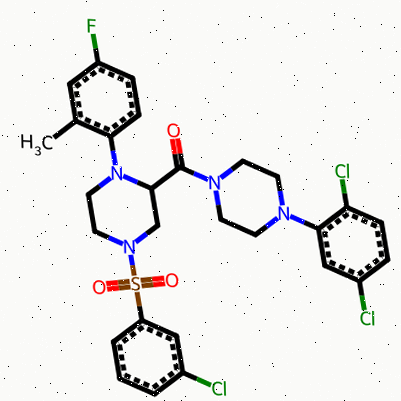 Cc1cc(F)ccc1N1CCN(S(=O)(=O)c2cccc(Cl)c2)CC1C(=O)N1CCN(c2cc(Cl)ccc2Cl)CC1